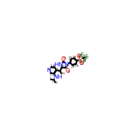 CC(C)Nc1cnccc1C(C)C1NC(=O)N(c2ccc(S(=O)(=O)C(F)(F)F)cc2)C1=O